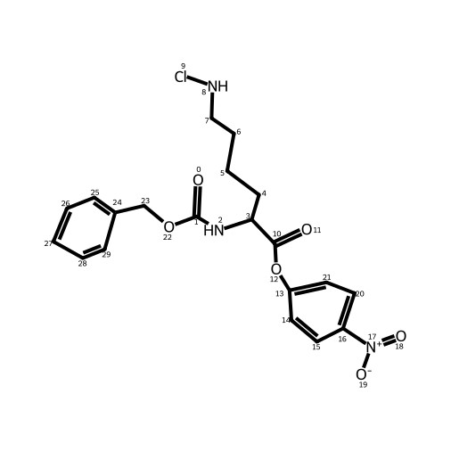 O=C(NC(CCCCNCl)C(=O)Oc1ccc([N+](=O)[O-])cc1)OCc1ccccc1